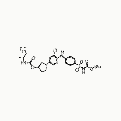 C[C@@H](CC(F)(F)F)NC(=O)O[C@@H]1CC[C@H](c2cnc(Nc3ccc(S(=O)(=O)NC(=O)OC(C)(C)C)cc3)c(Cl)c2)C1